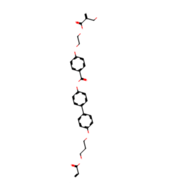 C=CC(=O)OCCCOc1ccc(-c2ccc(OC(=O)c3ccc(OCCOC(=O)C(=C)CO)cc3)cc2)cc1